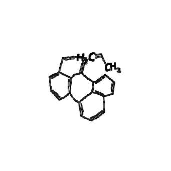 C=CC.c1cc2cccc3c4cccc5cccc(c(c1)c23)c54